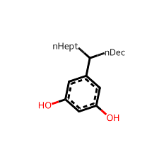 CCCCCCCCCCC(CCCCCCC)c1cc(O)cc(O)c1